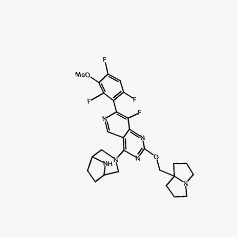 COc1c(F)cc(F)c(-c2ncc3c(N4CC5CCC(C4)N5)nc(OCC45CCCN4CCC5)nc3c2F)c1F